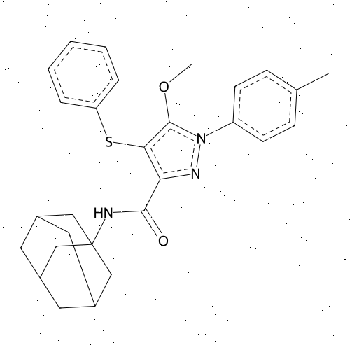 COc1c(Sc2ccccc2)c(C(=O)NC23CC4CC(CC(C4)C2)C3)nn1-c1ccc(C)cc1